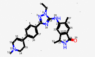 CCn1nc(-c2ccc(C3=CCN(C)CC3)cc2)nc1Nc1cc2c(cc1C)C(=O)NC2C